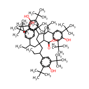 CCC(CC(C(=O)O)C(CC(CC)c1cc(C(C)(C)C)c(O)c(C(C)(C)C)c1)(CC(CC)c1cc(C(C)(C)C)c(O)c(C(C)(C)C)c1)CC(CC)c1cc(C(C)(C)C)c(O)c(C(C)(C)C)c1)c1cc(C(C)(C)C)c(O)c(C(C)(C)C)c1